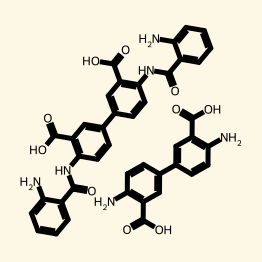 Nc1ccc(-c2ccc(N)c(C(=O)O)c2)cc1C(=O)O.Nc1ccccc1C(=O)Nc1ccc(-c2ccc(NC(=O)c3ccccc3N)c(C(=O)O)c2)cc1C(=O)O